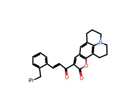 CC(C)Cc1ccccc1/C=C/C(=O)c1cc2cc3c4c(c2oc1=O)CCCN4CCC3